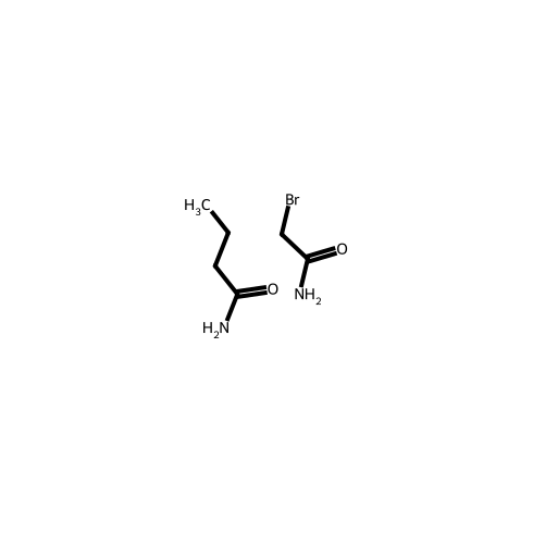 CCCC(N)=O.NC(=O)CBr